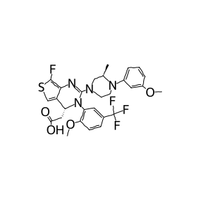 COc1cccc(N2CCN(C3=Nc4c(csc4F)[C@@H](CC(=O)O)N3c3cc(C(F)(F)F)ccc3OC)C[C@H]2C)c1